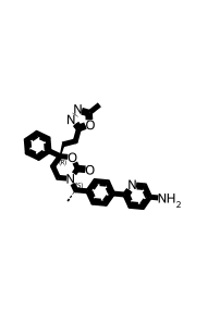 Cc1nnc(CC[C@]2(c3ccccc3)CCN([C@@H](C)c3ccc(-c4ccc(N)cn4)cc3)C(=O)O2)o1